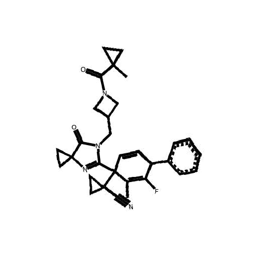 CC1=C(F)C(c2ccccc2)C=CC1(C1=NC2(CC2)C(=O)N1CC1CN(C(=O)C2(C)CC2)C1)C1(C#N)CC1